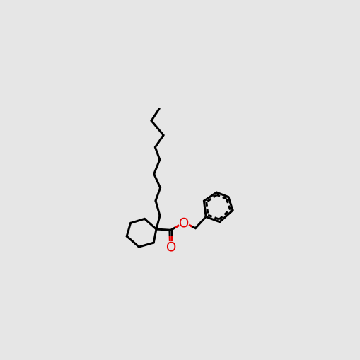 CCCCCCCCCC1(C(=O)OCc2ccccc2)CCCCC1